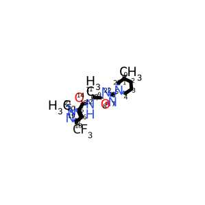 CC1CCCN(c2noc([C@H](C)NC(=O)c3cc(C(F)(F)F)nn3C)n2)C1